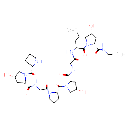 CSCC[C@H](NC(=O)CNC(=O)[C@@H]1C[C@@H](O)CN1C(=O)[C@@H]1CCCN1C(=O)CNC(=O)[C@@H]1C[C@@H](O)CN1C(=O)[C@@H]1CCCN1)C(=O)N1C[C@H](O)C[C@H]1C(=O)NCC(=O)O